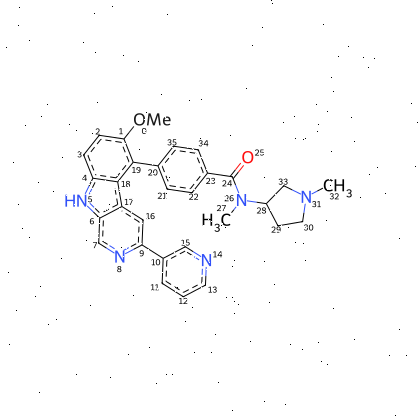 COc1ccc2[nH]c3cnc(-c4cccnc4)cc3c2c1-c1ccc(C(=O)N(C)C2CCN(C)C2)cc1